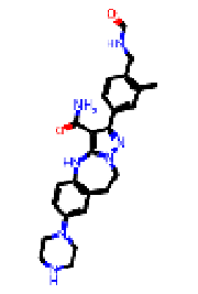 Cc1cc(-c2nn3c(c2C(N)=O)Nc2ccc(N4CCNCC4)cc2CC3)ccc1CNC=O